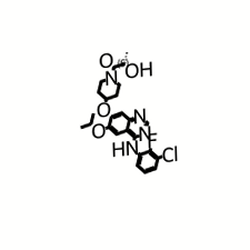 CC(C)Oc1cc2c(Nc3cccc(Cl)c3F)ncnc2cc1OC1CCN(C(=O)[C@H](C)O)CC1